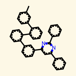 Cc1cccc(-c2ccccc2-c2ccccc2-c2cccc(-c3cc(-c4ccccc4)nc(-c4ccccc4)n3)c2)c1